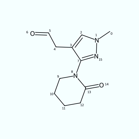 Cn1cc(CC=O)c(N2CCCCC2=O)n1